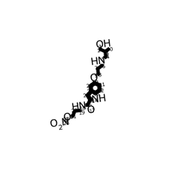 CC(CO)CNCCCOc1ccc2[nH]c(C(=O)NCCCO[N+](=O)[O-])cc2c1